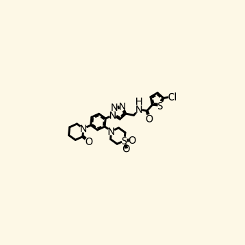 O=C(NCc1cn(-c2ccc(N3CCCCC3=O)cc2N2CCS(=O)(=O)CC2)nn1)c1ccc(Cl)s1